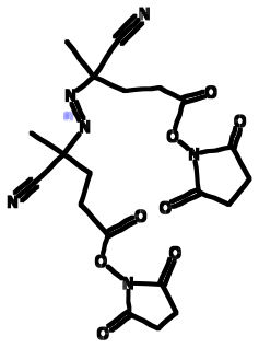 CC(C#N)(CCC(=O)ON1C(=O)CCC1=O)/N=N/C(C)(C#N)CCC(=O)ON1C(=O)CCC1=O